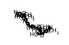 Cc1ncsc1-c1ccc(CNC(=O)[C@@H]2C[C@@H](O)CN2C(=O)[C@@H](NC(=O)CCN2CCN(C(=O)c3ccc(-c4ccc(N5C(=S)N(c6ccc(C#N)c(C(F)(F)F)c6F)C(=O)C5(C)C)cn4)cc3)CC2)C(C)(C)C)cc1